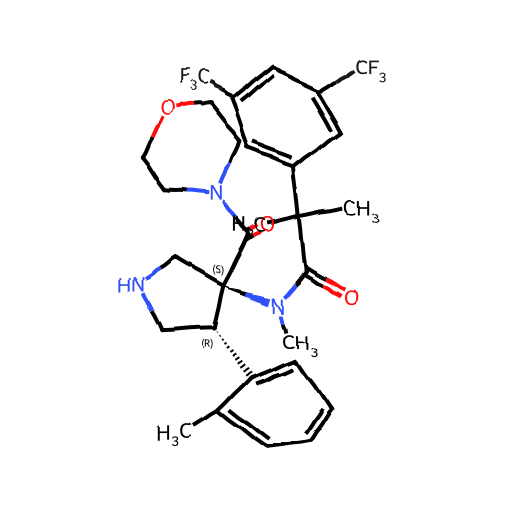 Cc1ccccc1[C@@H]1CNC[C@@]1(C(=O)N1CCOCC1)N(C)C(=O)C(C)(C)c1cc(C(F)(F)F)cc(C(F)(F)F)c1